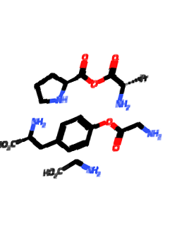 CC(C)[C@H](N)C(=O)OC(=O)[C@@H]1CCCN1.NCC(=O)O.NCC(=O)Oc1ccc(C[C@H](N)C(=O)O)cc1